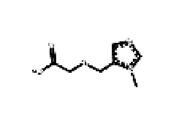 Cn1cncc1COCC(=O)O